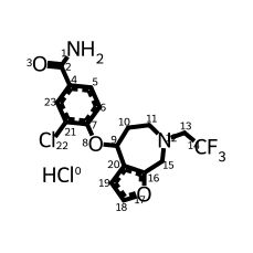 Cl.NC(=O)c1ccc(OC2CCN(CC(F)(F)F)Cc3occc32)c(Cl)c1